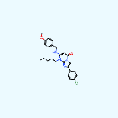 CCCCCn1c(NCc2ccc(OC)cc2)cc(=O)n2cc(-c3ccc(Cl)cc3)nc12